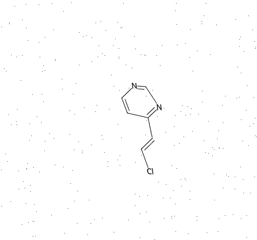 ClC=Cc1ccncn1